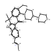 CCc1ccc2c(c1N1CCC(N3CCOCC3)CC1)C(=O)c1c([nH]c3cc(/C=N/C)ccc13)C2(C)C